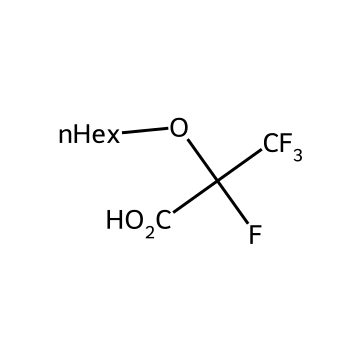 CCCCCCOC(F)(C(=O)O)C(F)(F)F